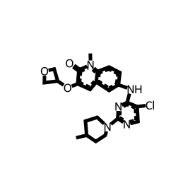 CC1CCN(c2ncc(Cl)c(Nc3ccc4c(c3)cc(OC3COC3)c(=O)n4C)n2)CC1